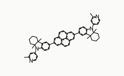 Cc1cc(N2c3ccc(-c4cc5ccc6cc(-c7ccc8c(c7)C7(C)CCCCC7(C)N8c7ccnc(C)c7)cc7ccc(c4)c5c67)cc3C3(C)CCCCC23C)ccn1